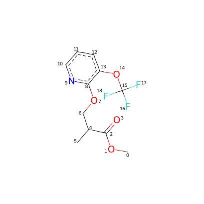 COC(=O)C(C)COc1ncccc1OC(F)(F)F